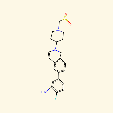 Nc1cc(-c2ccc3c(c2)C=CN(C2CCN(C[SH](=O)=O)CC2)C3)ccc1F